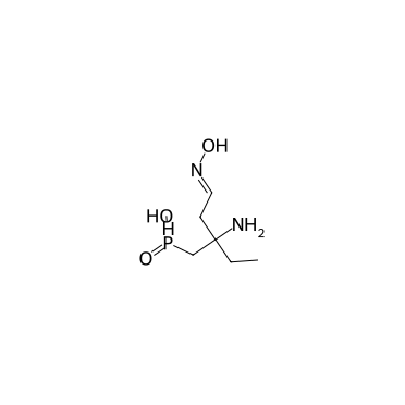 CCC(N)(CC=NO)C[PH](=O)O